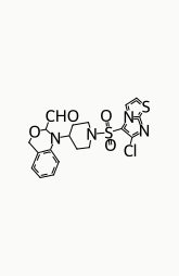 O=CC1OCc2ccccc2N1C1CCN(S(=O)(=O)c2c(Cl)nc3sccn23)CC1